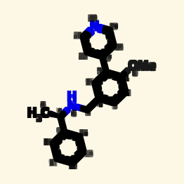 COc1ccc(CN[C@H](C)c2ccccc2)cc1-c1ccncc1